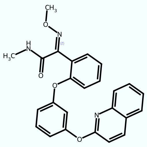 CNC(=O)/C(=N\OC)c1ccccc1Oc1cccc(Oc2ccc3ccccc3n2)c1